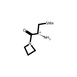 CSC[C@H](N)C(=O)N1CCC1